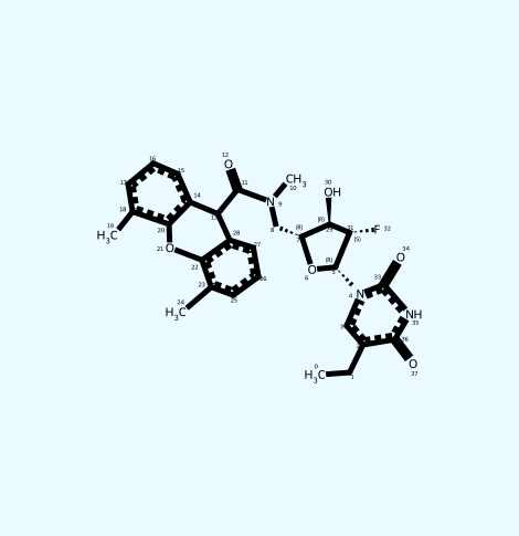 CCc1cn([C@@H]2O[C@H](CN(C)C(=O)C3c4cccc(C)c4Oc4c(C)cccc43)[C@@H](O)[C@@H]2F)c(=O)[nH]c1=O